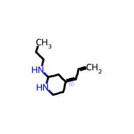 C=C/C=C1/CCNC(NCCC)C1